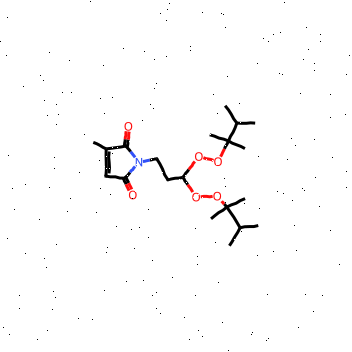 CC1=CC(=O)N(CCC(OOC(C)(C)C(C)C)OOC(C)(C)C(C)C)C1=O